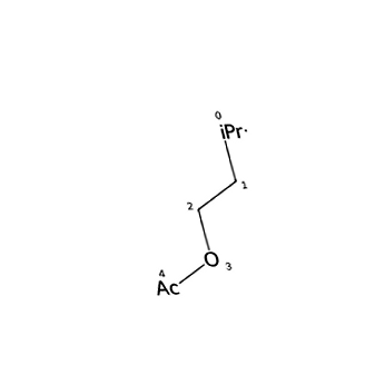 C[C](C)CCOC(C)=O